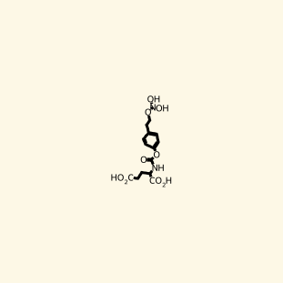 O=C(O)CCC(NC(=O)Oc1ccc(CCON(O)O)cc1)C(=O)O